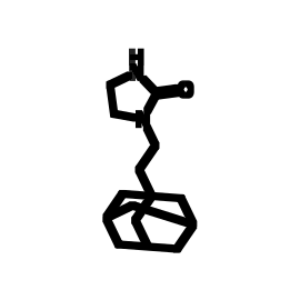 O=C1NCCN1CCC12CC3CC(CC(C3)C1)C2